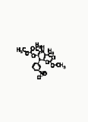 COC(=O)OC1=C(C)NC(C)=C(OC(=O)OC)C1c1cccc([N+](=O)[O-])c1